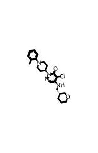 Cc1ccccc1N1CCC(n2ncc(NC[C@H]3CCCOC3)c(Cl)c2=O)CC1